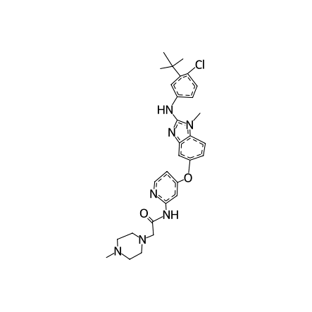 CN1CCN(CC(=O)Nc2cc(Oc3ccc4c(c3)nc(Nc3ccc(Cl)c(C(C)(C)C)c3)n4C)ccn2)CC1